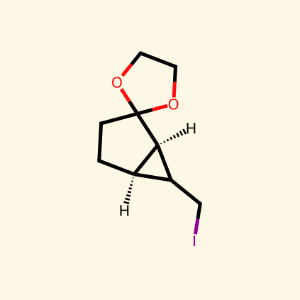 ICC1[C@H]2CCC3(OCCO3)[C@@H]12